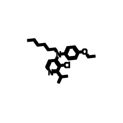 CCCCCCN(c1ccc(OCC)cc1)c1ccnc(C(C)C)c1Cl